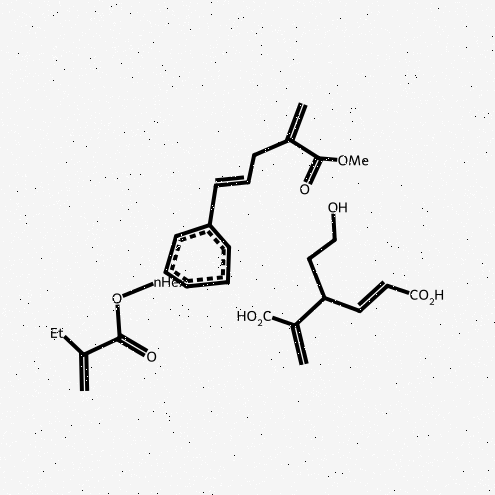 C=C(C(=O)O)C(C=CC(=O)O)CCO.C=C(CC)C(=O)OCCCCCC.C=C(CC=Cc1ccccc1)C(=O)OC